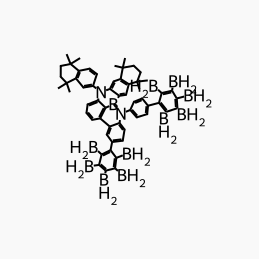 Bc1c(B)c(B)c(-c2ccc(N3B4c5cc6c(cc5N(c5ccc7c(c5)C(C)(C)CCC7(C)C)c5cccc(c54)-c4cc(-c5c(B)c(B)c(B)c(B)c5B)ccc43)C(C)(C)CCC6(C)C)cc2)c(B)c1B